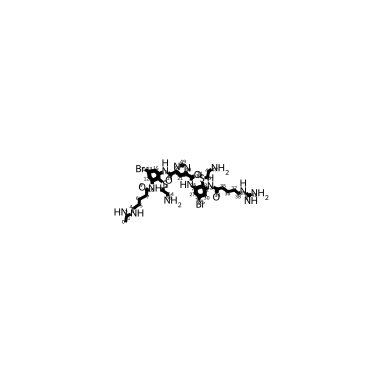 CC(=N)NCCCCC(=O)Nc1cc(Br)cc(NC(=O)c2cc(C(=O)Nc3cc(Br)cc(NC(=O)CCCCNC(=N)N)c3SCCN)ncn2)c1SCCN